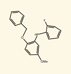 COc1ccc(OCc2ccccc2)c(Pc2ccccc2F)c1